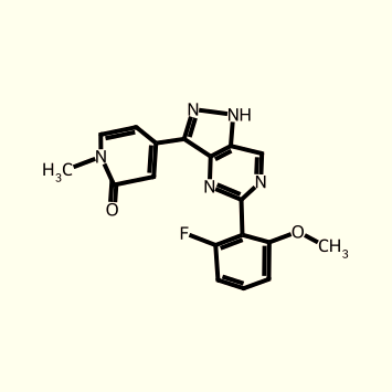 COc1cccc(F)c1-c1ncc2[nH]nc(-c3ccn(C)c(=O)c3)c2n1